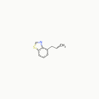 C=CCc1cccc2scnc12